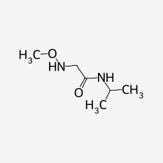 CONCC(=O)NC(C)C